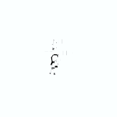 CB(O)n1cnc(CC(BOC=N)C(O)C=O)c1